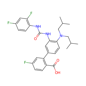 CC(C)CN(CC(C)C)c1ccc(-c2cc(F)ccc2C(=O)O)cc1NC(=O)Nc1ccc(F)cc1F